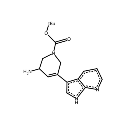 CC(C)(C)OC(=O)N1CC(c2c[nH]c3ncccc23)=CC(N)C1